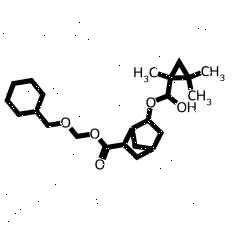 CC1(C)CC1(C)C(O)OC1CC2CC(C(=O)OCOCC3CCCCC3)C1C2